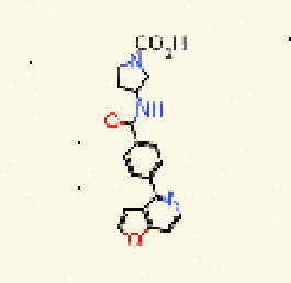 O=C(N[C@H]1CCN(C(=O)O)C1)c1ccc(-c2nccc3occc23)cc1